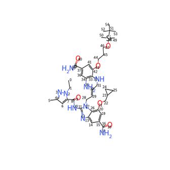 CCn1nc(C)cc1C(=O)Nc1nc2cc(C(N)=O)cc(OCC3CC3)c2n1C/C=C/CNc1c(N)cc(C(N)=O)cc1OCCCO[Si](C)(C)C(C)(C)C